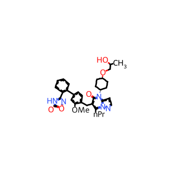 CCCc1c(Cc2ccc(-c3ccccc3-c3noc(=O)[nH]3)cc2OC)c(=O)n([C@H]2CC[C@H](OCC(C)O)CC2)c2ccnn12